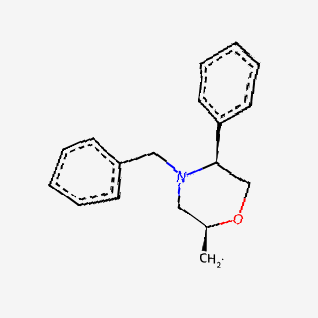 [CH2][C@H]1CN(Cc2ccccc2)[C@@H](c2ccccc2)CO1